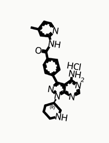 Cc1ccnc(NC(=O)c2ccc(-c3nn([C@@H]4CCCNC4)c4ncnc(N)c34)cc2)c1.Cl